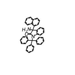 NC1(c2cccc3ccccc23)C(=O)N(C(c2ccccc2)(c2ccccc2)c2ccccc2)c2ccccc21